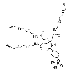 C#CCOCCOCCNC(=O)CCC(CCC(=O)NCCOCCOCC#C)(CCC(=O)NCCOCCOCC#C)NC(=O)C1CCC(OP(=O)(S)C(C)C)CC1